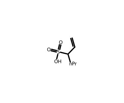 C=CC(CCC)S(=O)(=O)O